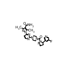 Cc1nn(-c2ccnc(N3CCN(C(=O)N4N=CCC4c4cncc(F)c4)CC3)n2)c(C)c1C(N)=O